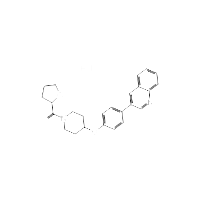 Cl.O=C(C1CCCO1)N1CCC(Oc2ccc(-c3cnc4ccccc4c3)cc2)CC1